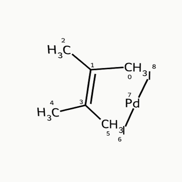 CC(C)=C(C)C.[I][Pd][I]